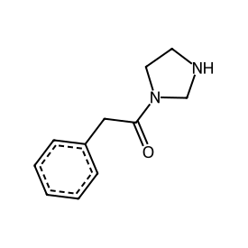 O=C(Cc1ccccc1)N1CCNC1